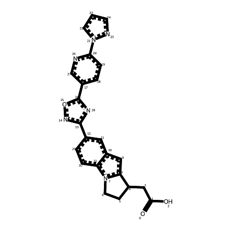 O=C(O)CC1CCn2c1cc1cc(-c3noc(-c4ccc(-n5cccn5)nc4)n3)ccc12